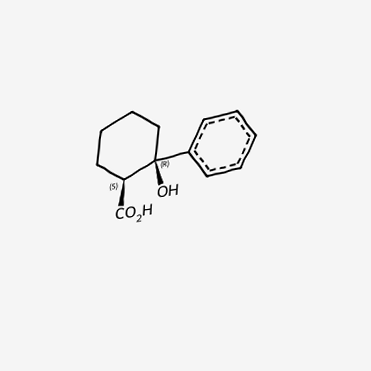 O=C(O)[C@H]1CCCC[C@]1(O)c1ccccc1